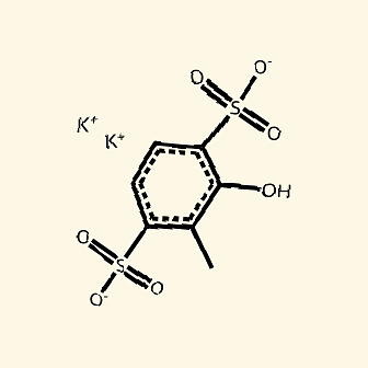 Cc1c(S(=O)(=O)[O-])ccc(S(=O)(=O)[O-])c1O.[K+].[K+]